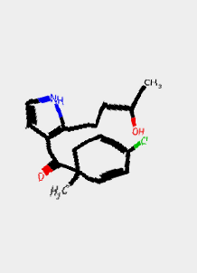 CC(O)CCc1[nH]ccc1C(=O)C1(C)C=CC(Cl)=CC1